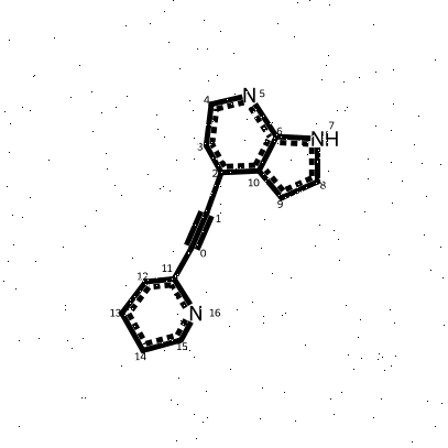 C(#Cc1ccnc2[nH]ccc12)c1ccccn1